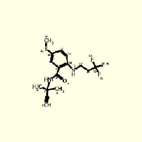 C#CC(C)(C)NC(=O)c1cc(SC)ccc1NCCC(F)(F)F